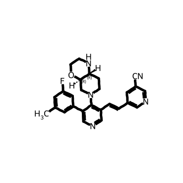 Cc1cc(F)cc(-c2cncc(C=Cc3cncc(C#N)c3)c2N2CC[C@H]3NCCO[C@@H]3C2)c1